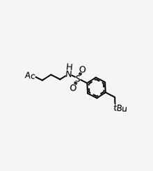 CC(=O)CCCNS(=O)(=O)c1ccc(CC(C)(C)C)cc1